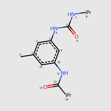 Cc1cc(NC(=O)NC(C)C)cc(NC(=O)C(C)C)c1